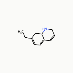 CCC1=CC=C2C=CCNC2C1